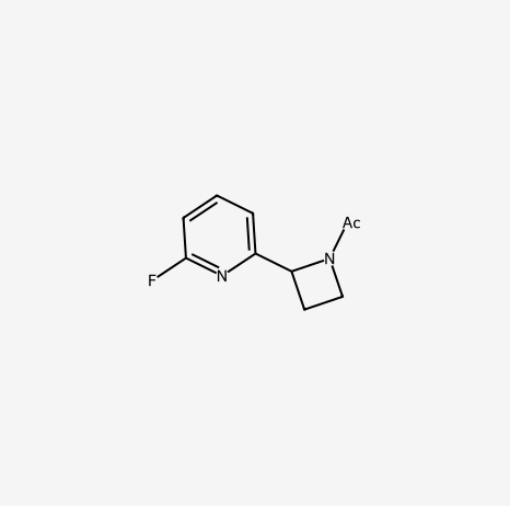 CC(=O)N1CCC1c1cccc(F)n1